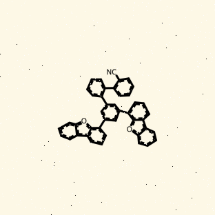 N#Cc1ccccc1-c1ccccc1-c1cc(-c2cccc3c2oc2ccccc23)cc(-c2cccc3c2oc2ccccc23)c1